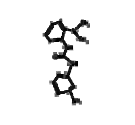 CN(C)c1ccccc1NC(=O)Nc1cccc(N)c1